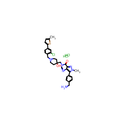 Cc1ccc(-c2ccc(CN3CCC(O)(Cn4cnc5c(-c6ccc(CN)cc6)n(C)nc5c4=O)CC3)c(Cl)c2)s1.Cl.Cl